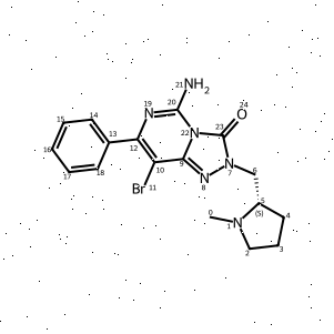 CN1CCC[C@H]1Cn1nc2c(Br)c(-c3ccccc3)nc(N)n2c1=O